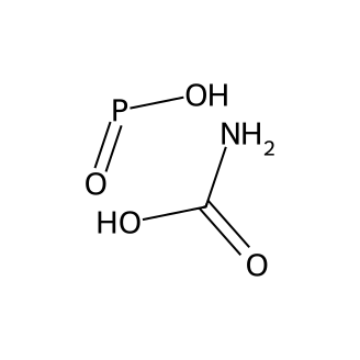 NC(=O)O.O=PO